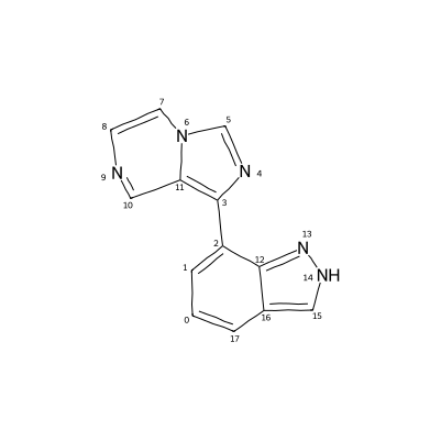 c1cc(-c2ncn3ccncc23)c2n[nH]cc2c1